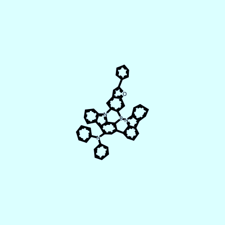 c1ccc(-c2cc3cc4c(cc3o2)B2c3c(cc(N(c5ccccc5)c5ccccc5)c5c6ccccc6n-4c35)-c3cccc4c5ccccc5n2c34)cc1